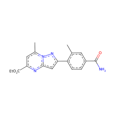 CCOC(=O)c1cc(C)n2nc(-c3ccc(C(N)=O)cc3C)cc2n1